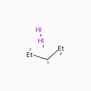 CCCCC.I.I